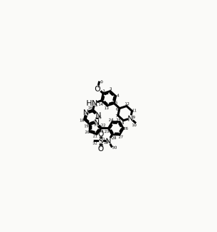 COc1ccc(C2CCN(C)CC2)cc1Nc1ncc2ccc(-c3ccccc3N(C)S(C)(=O)=O)n2n1